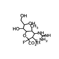 CCOC(=O)C1(F)OC(C(O)C(O)CO)C(C)C(NC(=N)N)C1F